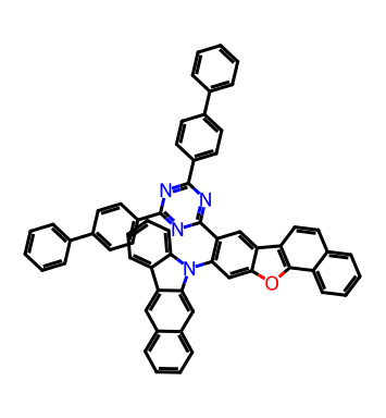 c1ccc(-c2ccc(-c3nc(-c4ccc(-c5ccccc5)cc4)nc(-c4cc5c(cc4-n4c6ccccc6c6cc7ccccc7cc64)oc4c6ccccc6ccc54)n3)cc2)cc1